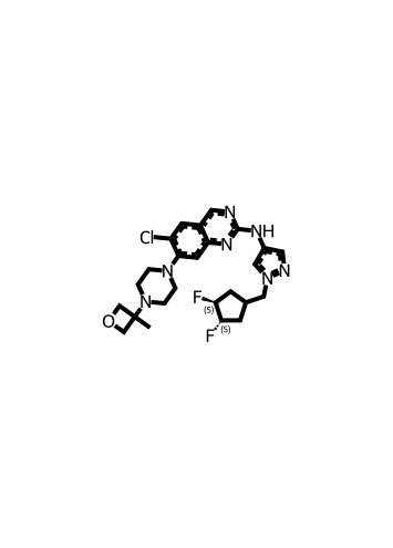 CC1(N2CCN(c3cc4nc(Nc5cnn(CC6C[C@H](F)[C@@H](F)C6)c5)ncc4cc3Cl)CC2)COC1